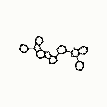 c1ccc(-c2nc(-c3cccc(-c4cccc5c4sc4c5ccc5c4c4ccccc4n5-c4ccccc4)c3)nc3ccccc23)cc1